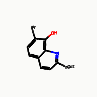 CCCCCCCCc1ccc2ccc(C(C)C)c(O)c2n1